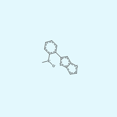 C[S+]([O-])c1ccccc1-c1cc2sccc2s1